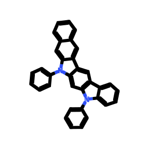 c1ccc(-n2c3ccccc3c3cc4c5cc6ccccc6cc5n(-c5ccccc5)c4cc32)cc1